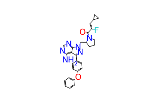 Nc1ncnc2c1c(-c1ccc(Oc3ccccc3)cc1)nn2CC1CCCN1C(=O)C(F)=CC1CC1